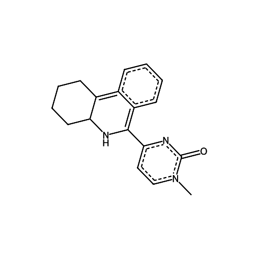 Cn1ccc(C2=c3ccccc3=C3CCCCC3N2)nc1=O